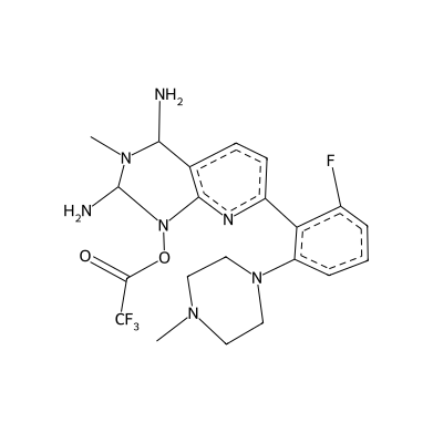 CN1CCN(c2cccc(F)c2-c2ccc3c(n2)N(OC(=O)C(F)(F)F)C(N)N(C)C3N)CC1